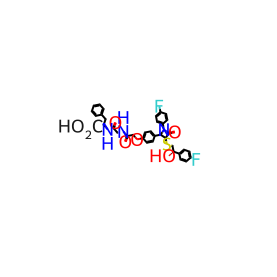 O=C(COc1ccc(C2C(SC[C@H](O)c3ccc(F)cc3)C(=O)N2c2ccc(F)cc2)cc1)NCC(=O)N[C@H](Cc1ccccc1)C(=O)O